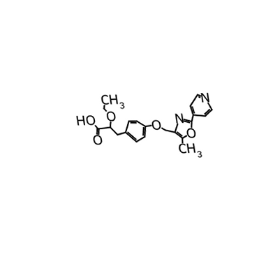 CCOC(Cc1ccc(OCc2nc(-c3ccncc3)oc2C)cc1)C(=O)O